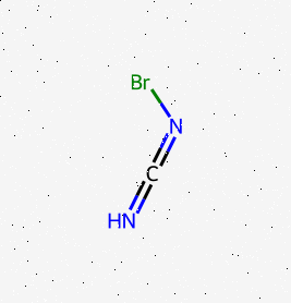 N=C=NBr